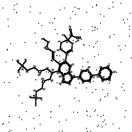 CCOC=Cc1c(C2=CCC(C)(C(=O)O)CC2)nc2c(-c3ccc(-c4ccccc4)nc3)cnn2c1N(COCC[Si](C)(C)C)COCC[Si](C)(C)C